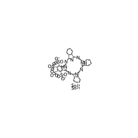 O=S(=O)([O-])c1c(S(=O)(=O)[O-])c(S(=O)(=O)[O-])c2c3nc4nc(nc5[nH]c(nc6nc(nc([nH]3)c2c1S(=O)(=O)[O-])-c1ccccc1-6)c1ccccc51)-c1ccccc1-4.[Sn+2].[Sn+2]